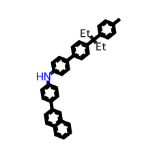 CCC(CC)(c1ccc(C)cc1)c1ccc(-c2ccc(Nc3ccc(-c4ccc5ccccc5c4)cc3)cc2)cc1